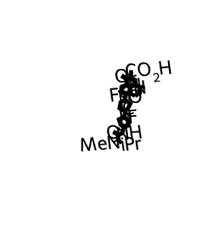 CN[C@@H](C(=O)Nc1ccc(N2CCN(c3c(F)cc4c(=O)c(C(=O)O)cn5c4c3OCN5C)CC2)c(F)c1)C(C)C